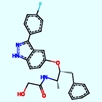 C[C@H](NC(=O)CO)[C@@H](Cc1ccccc1)Oc1ccc2[nH]nc(-c3ccc(F)cc3)c2c1